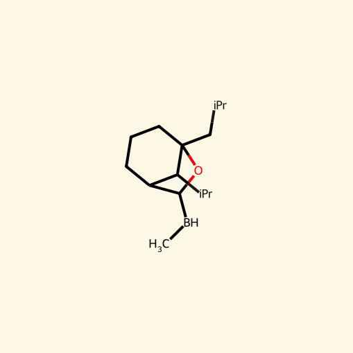 CBC1OC2(CC(C)C)CCCC1C2C(C)C